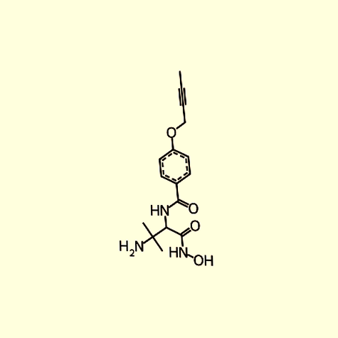 CC#CCOc1ccc(C(=O)NC(C(=O)NO)C(C)(C)N)cc1